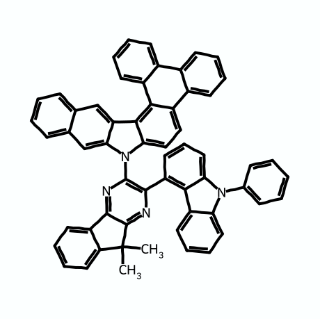 CC1(C)c2ccccc2-c2nc(-n3c4cc5ccccc5cc4c4c5c6ccccc6c6ccccc6c5ccc43)c(-c3cccc4c3c3ccccc3n4-c3ccccc3)nc21